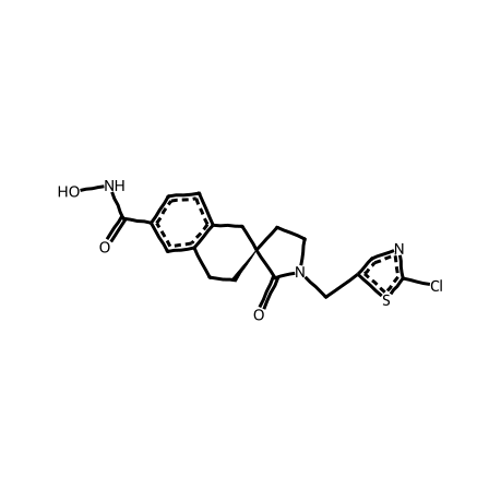 O=C(NO)c1ccc2c(c1)CC[C@]1(CCN(Cc3cnc(Cl)s3)C1=O)C2